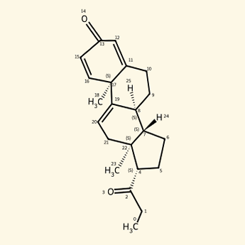 CCC(=O)[C@H]1CC[C@H]2[C@@H]3CCC4=CC(=O)C=C[C@]4(C)C3=CC[C@]12C